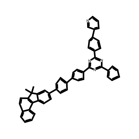 CC1(C)c2cc(-c3ccc(-c4ccc(-c5nc(-c6ccccc6)nc(-c6ccc(-c7cccnc7)cc6)n5)cc4)cc3)ccc2-c2c1ccc1ccccc21